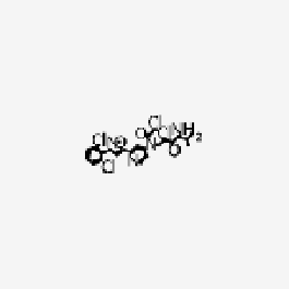 CC(C)C(N)C(=O)CCN(C(=O)C(Cl)Cl)c1ccnc(-c2cc(-c3c(Cl)cccc3Cl)no2)c1